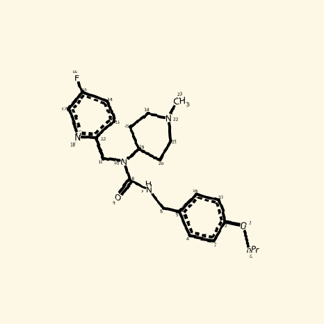 CCCOc1ccc(CNC(=O)N(Cc2ccc(F)cn2)C2CCN(C)CC2)cc1